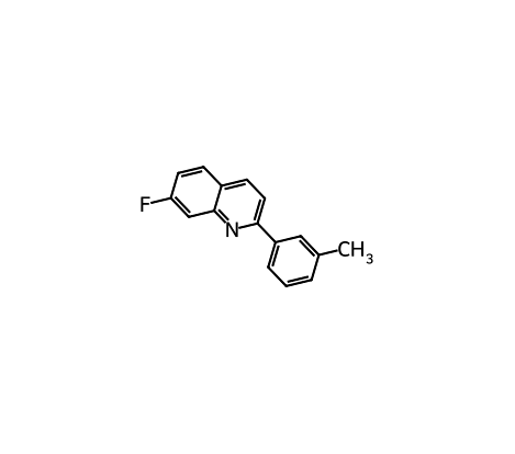 Cc1cccc(-c2ccc3ccc(F)cc3n2)c1